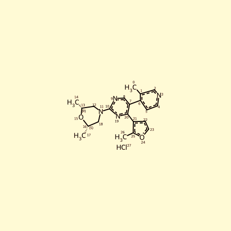 Cc1cnccc1-c1cnc(N2C[C@@H](C)O[C@@H](C)C2)nc1-c1ccoc1C.Cl